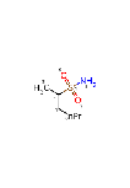 CCCCC(C)S(N)(=O)=O